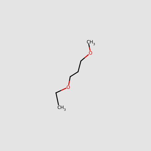 CCOCCCOC